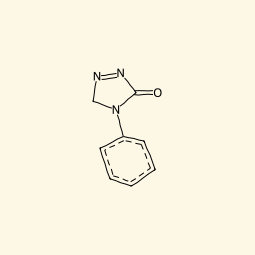 O=C1N=NCN1c1ccccc1